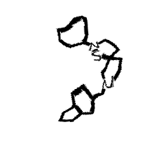 c1ccc(N2CCC3(CCN(Cc4ccc5c(c4)CCC5)C3)S2)cc1